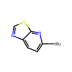 CC(C)(C)c1ccc2ncsc2n1